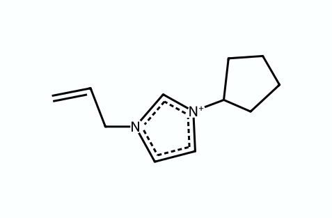 C=CCn1cc[n+](C2CCCC2)c1